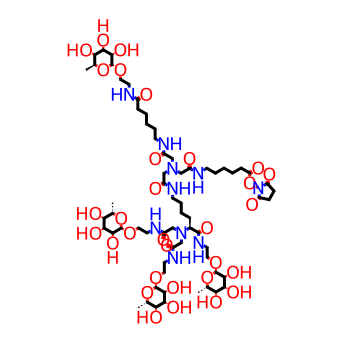 C[C@@H]1O[C@@H](OCCNC(=O)CCCCCNC(=O)CN(CC(=O)NCCCCCC(=O)ON2C(=O)CCC2=O)CC(=O)NCCCC[C@@H](C(=O)NCCO[C@@H]2O[C@@H](C)[C@@H](O)[C@@H](O)[C@@H]2O)N(CC(=O)NCCO[C@@H]2O[C@@H](C)[C@@H](O)[C@@H](O)[C@@H]2O)CC(=O)NCCO[C@@H]2O[C@@H](C)[C@@H](O)[C@@H](O)[C@@H]2O)[C@@H](O)[C@H](O)[C@@H]1O